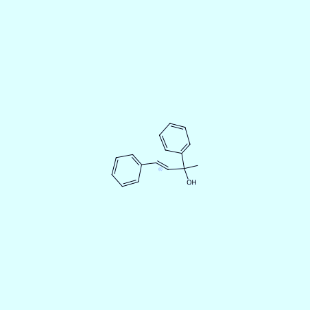 CC(O)(/C=C/c1ccccc1)c1ccccc1